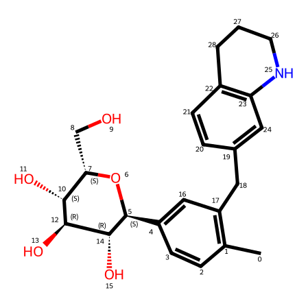 Cc1ccc([C@@H]2O[C@@H](CO)[C@@H](O)[C@H](O)[C@H]2O)cc1Cc1ccc2c(c1)NCCC2